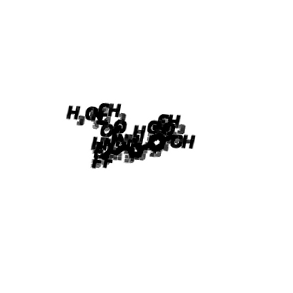 CN(C)CCOC(=O)CN/C(=C\C(=N)C(F)(F)F)c1ccc(-c2ccc(CO)c(S(C)(=O)=O)c2)[nH]1